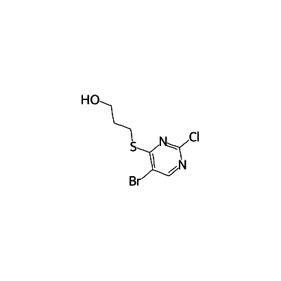 OCCCSc1nc(Cl)ncc1Br